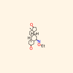 CCO/N=C1/C[C@@H]2[C@H](CC[C@]3(C)C(=O)CC[C@@H]23)[C@@]2(C)CCC(=O)CC12